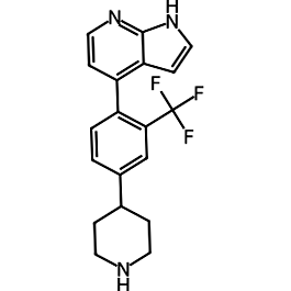 FC(F)(F)c1cc(C2CCNCC2)ccc1-c1ccnc2[nH]ccc12